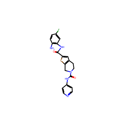 Nc1ccc(F)cc1NC(=O)c1cc2c(s1)CN(C(=O)Nc1ccncc1)CC2